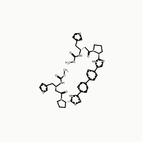 COC(=O)N[C@@H](CC(=O)N1CCC[C@H]1c1ncc(-c2ccc(-c3ccc(-c4cnc([C@@H]5CCCN5C(=O)C[C@@H](Cc5ccsc5)NC(=O)OC)[nH]4)cc3)cc2)[nH]1)Cc1ccsc1